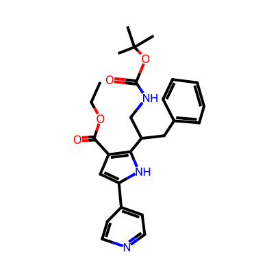 CCOC(=O)c1cc(-c2ccncc2)[nH]c1C(CNC(=O)OC(C)(C)C)Cc1ccccc1